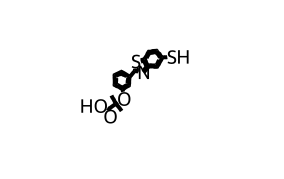 CC(C)(Oc1cccc(-c2nc3cc(S)ccc3s2)c1)C(=O)O